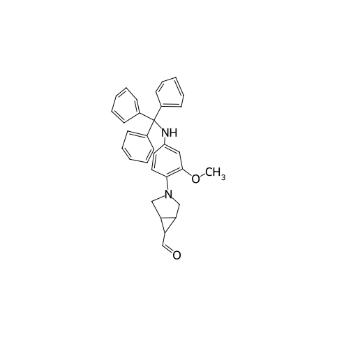 COc1cc(NC(c2ccccc2)(c2ccccc2)c2ccccc2)ccc1N1CC2C(C=O)C2C1